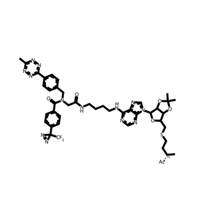 CC(=O)[C@@H](C)CCSCC1OC(n2cnc3c(NCCCCNC(=O)CN(Cc4ccc(-c5nnc(C)nn5)cc4)C(=O)c4ccc(C5(C(F)(F)F)N=N5)cc4)ncnc32)C2OC(C)(C)OC12